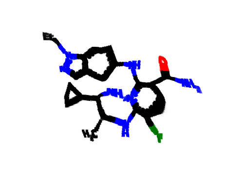 CCn1ncc2cc(Nc3nc(N[C@H](C)[C@H](N)C4CC4)c(F)cc3C(N)=O)ccc21